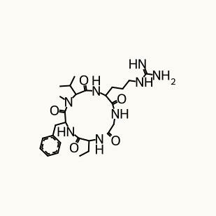 CCC1NC(=O)CNC(=O)C(CCCNC(=N)N)NC(=O)C(C(C)C)N(C)C(=O)C(Cc2ccccc2)NC1=O